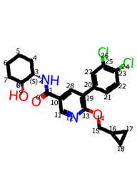 O=C(N[C@H]1CCCC[C@@H]1O)c1cnc(OCC2CC2)c(-c2ccc(Cl)c(Cl)c2)c1